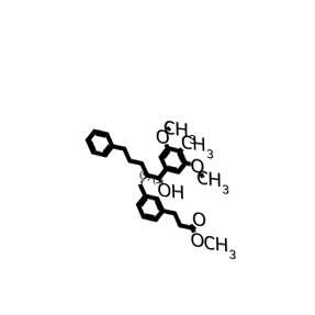 COC(=O)CCc1cccc(C[C@H](CCCc2ccccc2)[C@H](O)c2cc(OC)c(C)c(OC)c2)c1